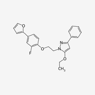 CCOc1cc(-c2ccccc2)nn1CCOc1ccc(-c2ccco2)cc1F